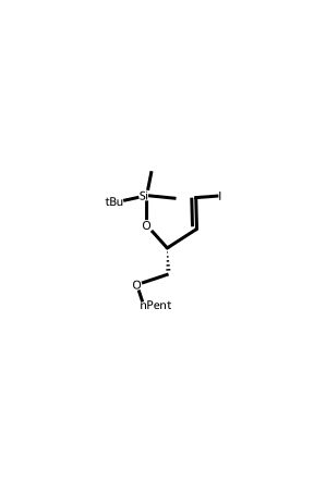 CCCCCOC[C@@H](C=CI)O[Si](C)(C)C(C)(C)C